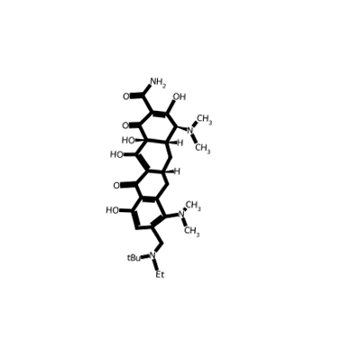 CCN(Cc1cc(O)c2c(c1N(C)C)C[C@H]1C[C@H]3[C@H](N(C)C)C(O)=C(C(N)=O)C(=O)[C@@]3(O)C(O)=C1C2=O)C(C)(C)C